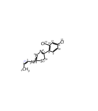 C/C=C\NC1=NN=C(c2ccc(Cl)cc2Cl)CS1